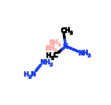 B.B.CN(C)N.NN